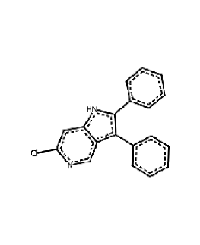 Clc1cc2[nH]c(-c3ccccc3)c(-c3ccccc3)c2cn1